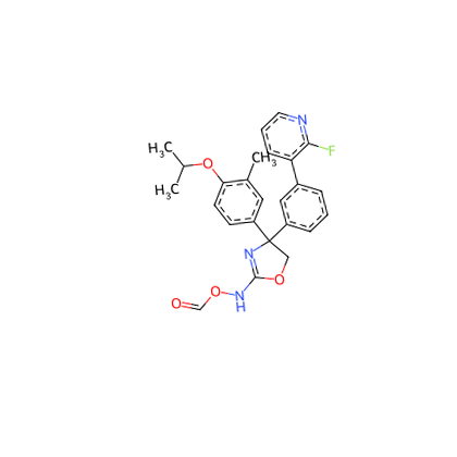 Cc1cc(C2(c3cccc(-c4cccnc4F)c3)COC(NOC=O)=N2)ccc1OC(C)C